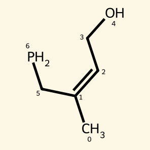 CC(=CCO)CP